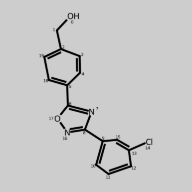 OCc1ccc(-c2nc(-c3cccc(Cl)c3)no2)cc1